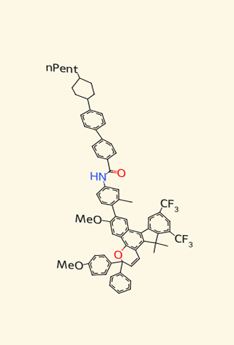 CCCCCC1CCC(c2ccc(-c3ccc(C(=O)Nc4ccc(-c5cc6c7c(c8c(c6cc5OC)OC(c5ccccc5)(c5ccc(OC)cc5)C=C8)C(C)(C)c5c-7cc(C(F)(F)F)cc5C(F)(F)F)c(C)c4)cc3)cc2)CC1